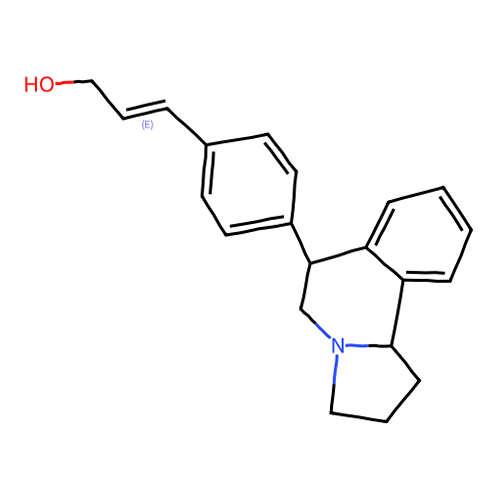 OC/C=C/c1ccc(C2CN3CCCC3c3ccccc32)cc1